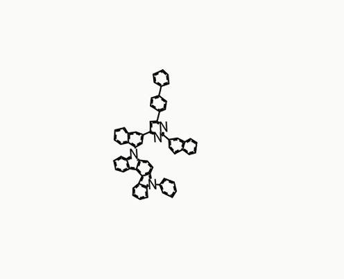 c1ccc(-c2ccc(-c3cc(-c4cc(-n5c6ccccc6c6c7c8ccccc8n(-c8ccccc8)c7ccc65)c5ccccc5c4)nc(-c4ccc5ccccc5c4)n3)cc2)cc1